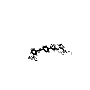 C[C@H](O)c1nccn1Cc1cc(-c2ccc(C#Cc3cccc(C(=O)O)c3)cc2)on1